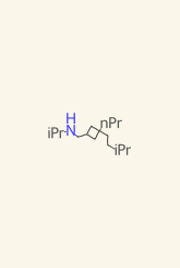 CCCC1(CCC(C)C)CC(CNC(C)C)C1